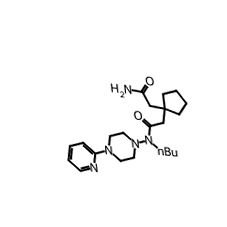 CCCCN(C(=O)CC1(CC(N)=O)CCCC1)N1CCN(c2ccccn2)CC1